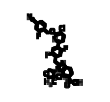 CC1(C)COC[C@H]1n1c(Cc2cc(F)c(-c3ccc(Cl)c(OCc4ccc(C#N)cc4F)n3)cc2F)nc2ccc(C(=O)O)cc21